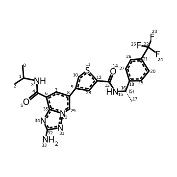 CC(C)NC(=O)c1cc(-c2csc(C(=O)N[C@@H](C)c3ccc(C(F)(F)F)cc3)c2)cn2nc(N)nc12